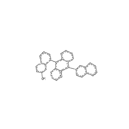 Oc1ccc2cccc(-c3c4ccccc4c(-c4ccc5ccccc5c4)c4ccccc34)c2c1